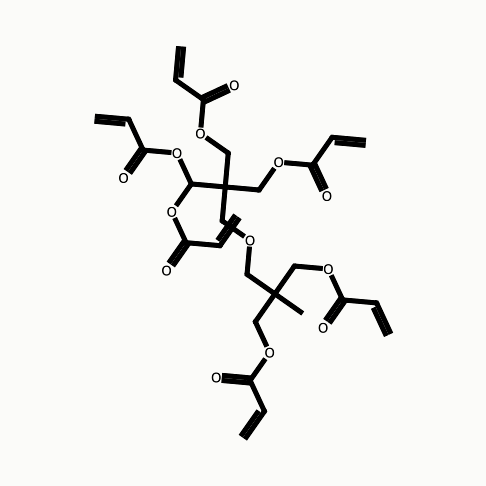 C=CC(=O)OCC(C)(COCC(COC(=O)C=C)(COC(=O)C=C)C(OC(=O)C=C)OC(=O)C=C)COC(=O)C=C